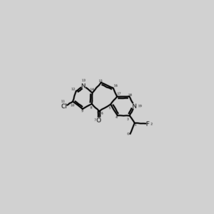 CC(F)c1cc2c(=O)c3cc(Cl)cnc3ccc2cn1